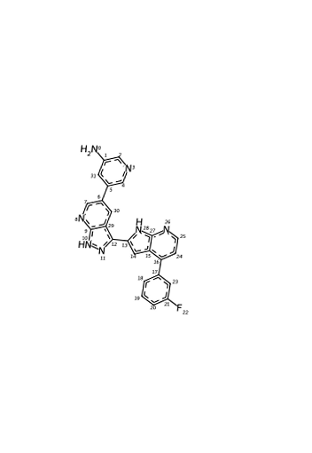 Nc1cncc(-c2cnc3[nH]nc(-c4cc5c(-c6cccc(F)c6)ccnc5[nH]4)c3c2)c1